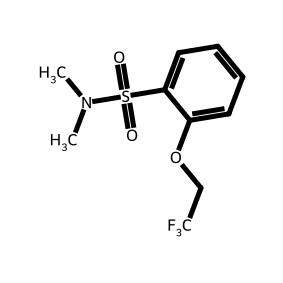 CN(C)S(=O)(=O)c1ccccc1OCC(F)(F)F